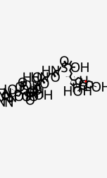 CC(C(=O)SCCNC(=O)CCNC(=O)[C@H](O)C(C)(C)COP(=O)(O)OP(=O)(O)OC[C@H]1O[C@@H](n2cnc3c(N)ncnc32)[C@H](O)[C@@H]1OP(=O)(O)O)C(O)CC[C@@H](C)[C@H]1CC[C@H]2[C@@H]3[C@H](O)C[C@@H]4C[C@H](O)CC[C@]4(C)[C@H]3CC[C@]12C